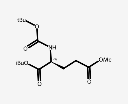 COC(=O)CC[C@H](NC(=O)OC(C)(C)C)C(=O)OCC(C)C